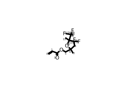 C=CC(=O)OCC1(C)CC(F)(F)C(C)(C(F)(F)F)O1